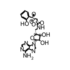 Nc1ncnc2c1ncn2[C@@H]1O[C@H](CNS(=O)(=O)CS(=O)(=O)c2ccccc2O)[C@H](O)C1O